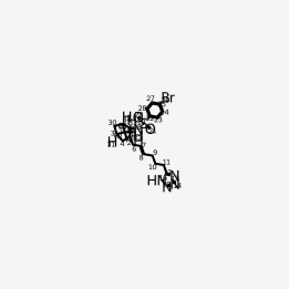 CC1(C)[C@H]2C[C@H](CC=CCCCc3nnn[nH]3)[C@@H](NS(=O)(=O)c3ccc(Br)cc3)[C@H]1C2